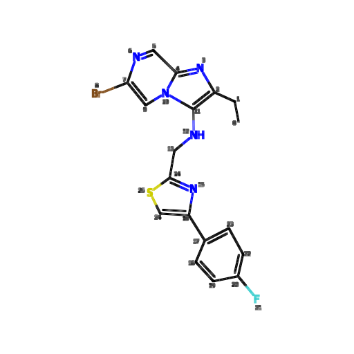 CCc1nc2cnc(Br)cn2c1NCc1nc(-c2ccc(F)cc2)cs1